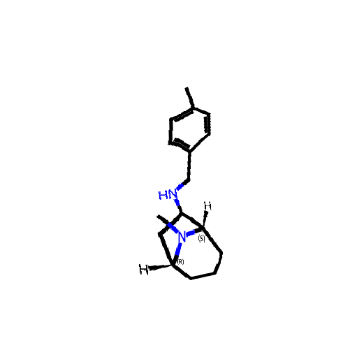 Cc1ccc(CNC2C[C@H]3CCC[C@@H]2N3C)cc1